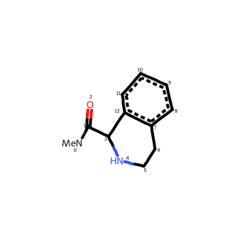 CNC(=O)C1NCCc2ccccc21